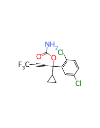 NC(=O)OC(C#CC(F)(F)F)(c1cc(Cl)ccc1Cl)C1CC1